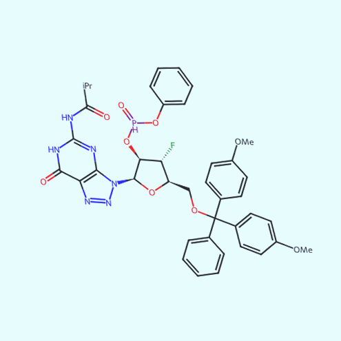 COc1ccc(C(OC[C@H]2O[C@@H](n3nnc4c(=O)[nH]c(NC(=O)C(C)C)nc43)[C@@H](O[PH](=O)Oc3ccccc3)[C@@H]2F)(c2ccccc2)c2ccc(OC)cc2)cc1